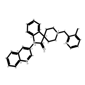 Cc1cccnc1CN1CCC2(CC1)C(=O)N(c1cnc3ccccc3c1)c1ccccc12